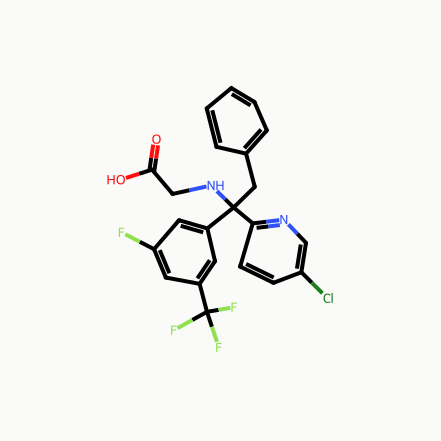 O=C(O)CNC(Cc1ccccc1)(c1cc(F)cc(C(F)(F)F)c1)c1ccc(Cl)cn1